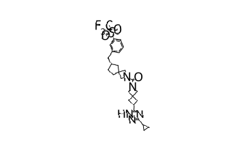 O=C(N1CC2(CC(c3nc(C4CC4)n[nH]3)C2)C1)N1CC2(CC[C@@H](Cc3cccc(S(=O)(=O)C(F)(F)F)c3)C2)C1